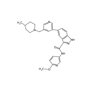 COc1ccc(NC(=O)c2n[nH]c3ccc(-c4cncc(CN5CCC(C)CC5)c4)cc23)cn1